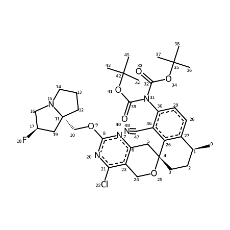 C[C@H]1CC[C@@]2(Cc3nc(OC[C@@]45CCCN4C[C@H](F)C5)nc(Cl)c3CO2)c2c1ccc(N(C(=O)OC(C)(C)C)C(=O)OC(C)(C)C)c2C#N